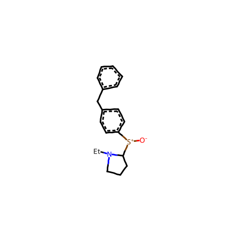 CCN1CCCC1[S+]([O-])c1ccc(Cc2ccccc2)cc1